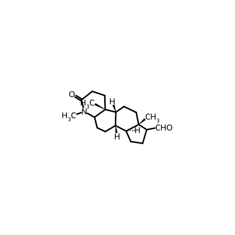 CN1C(=O)CC[C@@]2(C)C1CC[C@@H]1[C@H]2CC[C@]2(C)C(C=O)CC[C@@H]12